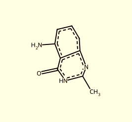 Cc1nc2cccc(N)c2c(=O)[nH]1